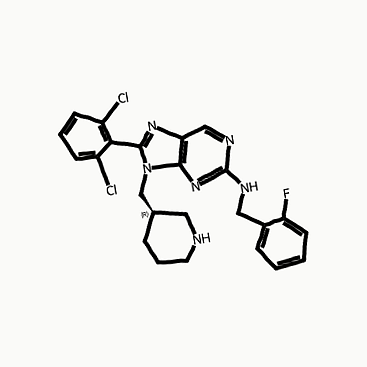 Fc1ccccc1CNc1ncc2nc(-c3c(Cl)cccc3Cl)n(C[C@@H]3CCCNC3)c2n1